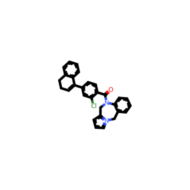 O=C(c1ccc(C2=CCCc3ccccc32)cc1Cl)N1Cc2cccn2Cc2ccccc21